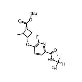 [2H]C([2H])([2H])NC(=O)c1ccc(O[C@H]2CN(C(=O)OC(C)(C)C)C2C)c(F)n1